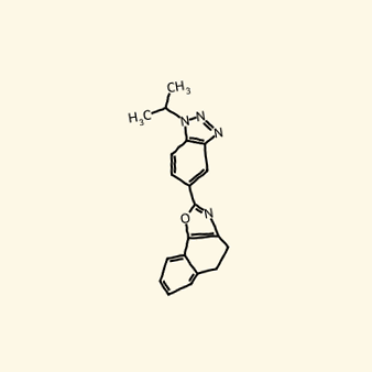 CC(C)n1nnc2cc(-c3nc4c(o3)-c3ccccc3CC4)ccc21